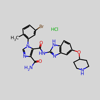 Cc1ccc(Br)cc1-n1cnc(C(N)=O)c1C(=O)Nc1nc2cc(OC3CCNCC3)ccc2[nH]1.Cl